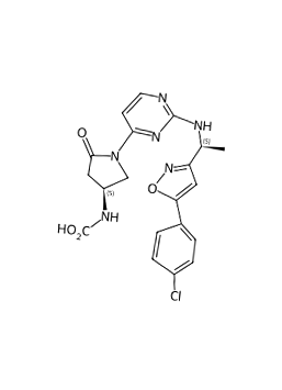 C[C@H](Nc1nccc(N2C[C@@H](NC(=O)O)CC2=O)n1)c1cc(-c2ccc(Cl)cc2)on1